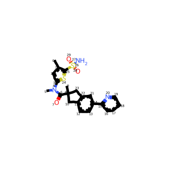 Cc1cc(N(C)C(=O)C2(C)Cc3ccc(-c4ccccn4)cc3C2)sc1S(N)(=O)=O